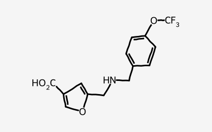 O=C(O)c1coc(CNCc2ccc(OC(F)(F)F)cc2)c1